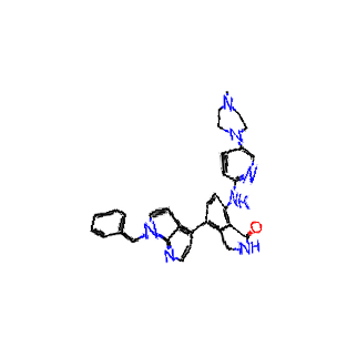 CN1CCN(c2ccc(Nc3ccc(-c4ccnc5c4ccn5Cc4ccccc4)c4c3C(=O)NC4)nc2)CC1